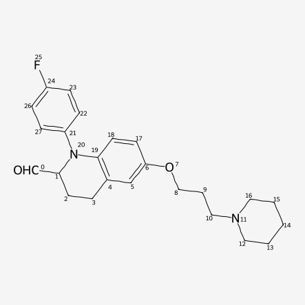 O=CC1CCc2cc(OCCCN3CCCCC3)ccc2N1c1ccc(F)cc1